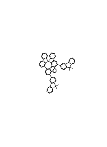 CC1(C)c2ccccc2-c2cc(-c3ccc4c5c3oc3c(-c6ccc7c(c6)-c6ccccc6C7(C)C)ccc(c35)C(c3ccccc3)(c3ccccc3)c3ccccc3-4)ccc21